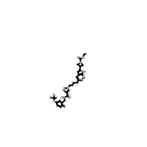 CCOC(=O)N1CC(c2cc3cc(CCCCn4cc(C(=O)NCc5cc(OC(F)(F)F)ccc5F)nn4)nnc3[nH]2)C1